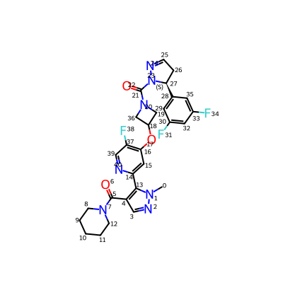 Cn1ncc(C(=O)N2CCCCC2)c1-c1cc(OC2CN(C(=O)N3N=CC[C@H]3c3cc(F)cc(F)c3)C2)c(F)cn1